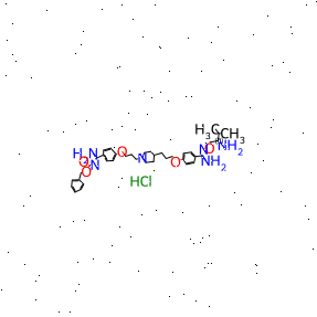 CC(C)[C@@H](N)CON=C(N)c1ccc(OCCCC2CCN(CCCOc3ccc(C(N)=NC(=O)OCc4ccccc4)cc3)CC2)cc1.Cl